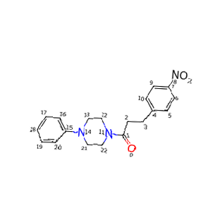 O=C(CCc1ccc([N+](=O)[O-])cc1)N1CCN(c2ccccc2)CC1